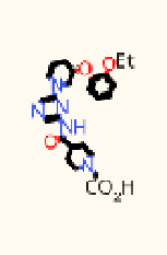 CCOc1ccccc1O[C@@H]1CCCN(c2cncc(NC(=O)C3CCN(CC(=O)O)CC3)n2)C1